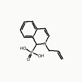 C=CCN1C=Cc2ccccc2C1P(=O)(O)O